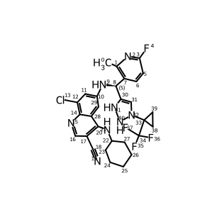 Cc1nc(F)ccc1[C@H](Nc1cc(Cl)c2ncc(C#N)c(NC3CCCCC3)c2c1)C1=CN(C2(C(F)(F)F)CC2)NN1